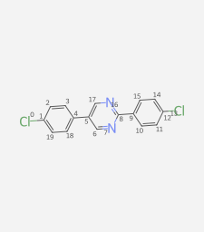 Clc1ccc(-c2cnc(-c3ccc(Cl)cc3)nc2)cc1